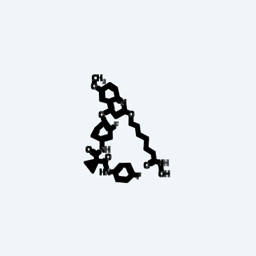 COc1ccc2nc(OCCCCCCC(=O)NO)cc(Oc3ccc(NC(=O)C4(C(=O)Nc5ccc(F)cc5)CC4)cc3F)c2c1